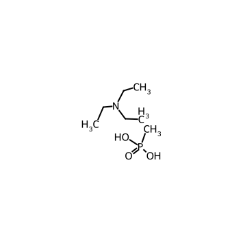 CCN(CC)CC.CP(=O)(O)O